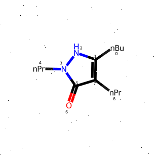 CCCCc1[nH]n(CCC)c(=O)c1CCC